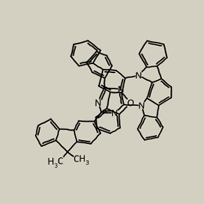 CC1(C)c2ccccc2-c2cc(-c3nc(-c4ccccc4)nc(-n4c5ccccc5c5ccc6c7ccccc7n(-c7cc(-c8ccccc8)cc8c7oc7ccccc78)c6c54)n3)ccc21